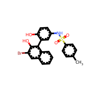 Cc1ccc(S(=O)(=O)Nc2ccc(O)c(-c3c(O)c(Br)cc4ccccc34)c2)cc1